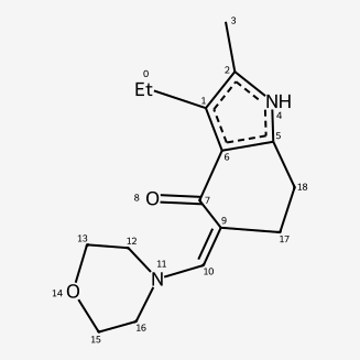 CCc1c(C)[nH]c2c1C(=O)/C(=C\N1CCOCC1)CC2